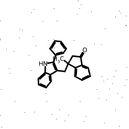 CC1(Cc2c(-c3ccccc3)[nH]c3ccccc23)CC(=O)c2ccccc21